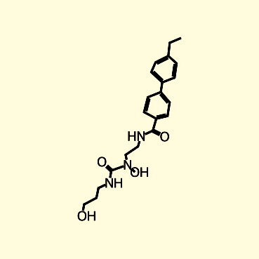 CCc1ccc(-c2ccc(C(=O)NCCN(O)C(=O)NCCCO)cc2)cc1